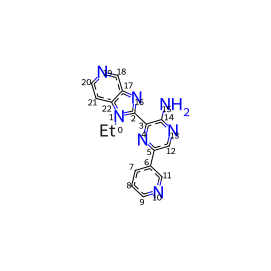 CCn1c(-c2nc(-c3cccnc3)cnc2N)nc2cnccc21